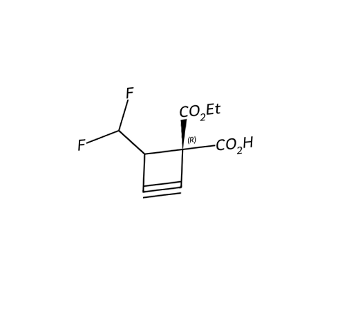 CCOC(=O)[C@@]1(C(=O)O)C#CC1C(F)F